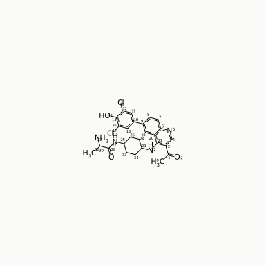 CC(=O)c1cnc2ccc(-c3cc(Cl)c(O)c(Cl)c3)cc2c1NC1CCC(NC(=O)C(C)N)CC1